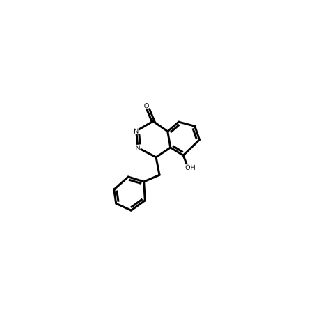 O=C1N=NC(Cc2ccccc2)c2c(O)cccc21